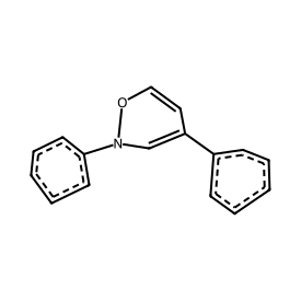 C1=CC(c2ccccc2)=CN(c2ccccc2)O1